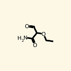 CCOC(C=O)C(N)=O